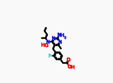 CCCC(C)N(O)c1nc(N)nc(C)c1Cc1ccc(CC(=O)O)cc1F